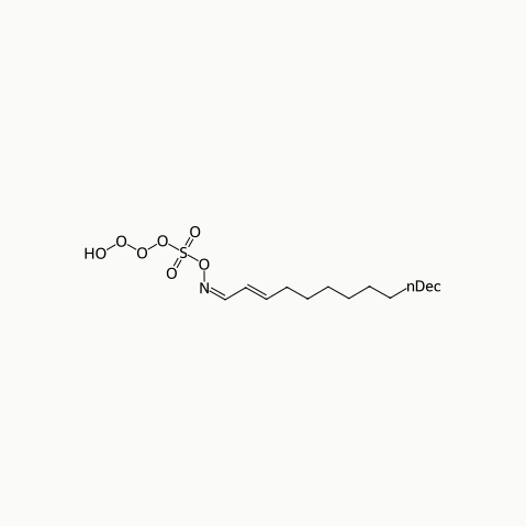 CCCCCCCCCCCCCCCC/C=C/C=N\OS(=O)(=O)OOOO